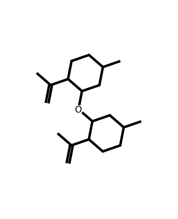 C=C(C)C1CCC(C)CC1OC1CC(C)CCC1C(=C)C